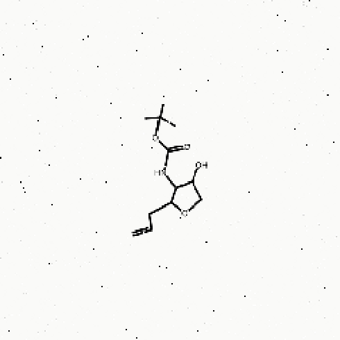 C=CCC1OCC(O)C1NC(=O)OC(C)(C)C